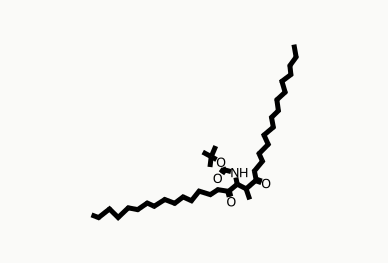 CCCCCCCCCCCCCCCC(=O)C(C)C(NC(=O)OC(C)(C)C)C(=O)CCCCCCCCCCCCCCC